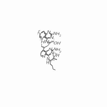 CCCC[C@@H](Nc1nc(N)nc2c(C(CC)C[C@@H](Nc3nc(N)nc4cc(F)cnc34)[C@H](C)O)ccnc12)[C@H](C)O